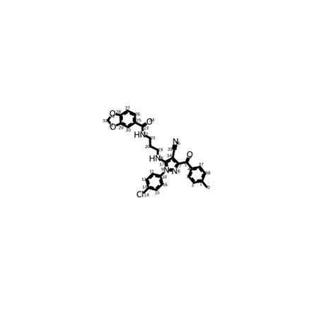 Cc1ccc(C(=O)c2nn(-c3ccc(Cl)cc3)c(NCCCNC(=O)c3ccc4c(c3)OCO4)c2C#N)cc1